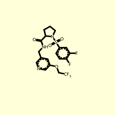 O=C(NCc1cncc(OCC(F)(F)F)c1)C1CCCN1S(=O)(=O)c1ccc(F)c(F)c1